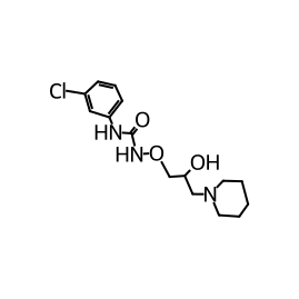 O=C(NOCC(O)CN1CCCCC1)Nc1cccc(Cl)c1